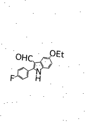 CCOc1ccc2[nH]c(-c3ccc(F)cc3)c(C=O)c2c1